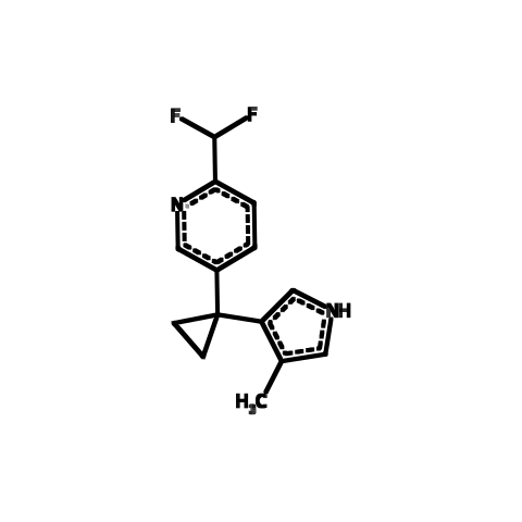 Cc1c[nH]cc1C1(c2ccc(C(F)F)nc2)CC1